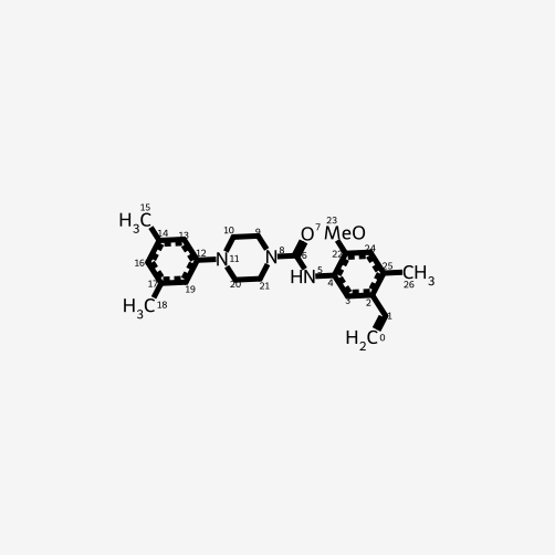 C=Cc1cc(NC(=O)N2CCN(c3cc(C)cc(C)c3)CC2)c(OC)cc1C